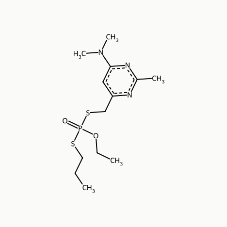 CCCSP(=O)(OCC)SCc1cc(N(C)C)nc(C)n1